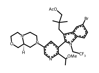 CO[C@@H](C)c1ncc(N2CCN3CCOC[C@@H]3C2)cc1-c1c(CC(C)(C)COC(C)=O)c2cc(Br)ccc2n1CC(F)(F)F